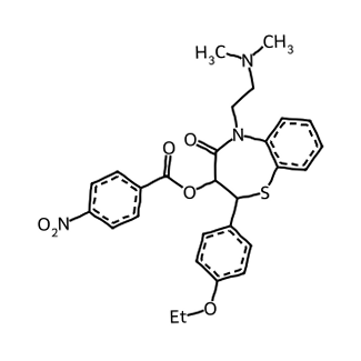 CCOc1ccc(C2Sc3ccccc3N(CCN(C)C)C(=O)C2OC(=O)c2ccc([N+](=O)[O-])cc2)cc1